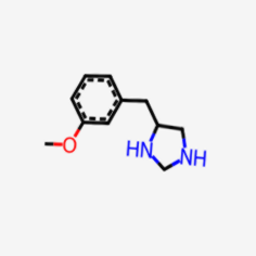 COc1cccc(CC2CNCN2)c1